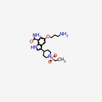 CCS(=O)(=O)N1CCC(c2c[nH]c3c(C(N)=O)cc(OCCCN)cc23)CC1